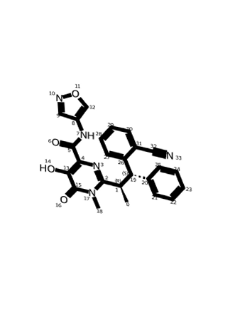 C[C@@H](c1nc(C(=O)Nc2cnoc2)c(O)c(=O)n1C)[C@@H](c1ccccc1)c1ccccc1C#N